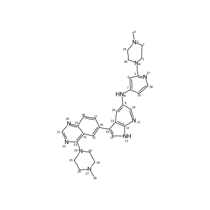 CN1CCN(c2cc(Nc3cnc4[nH]cc(-c5ccc6ncnc(N7CCN(C)CC7)c6c5)c4c3)ccn2)CC1